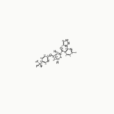 Cc1ccc(C(=O)N2C[C@H]3C[C@@H](Oc4ccc(C(F)(F)F)cn4)[C@@H]2C3)c(-n2ccnn2)n1